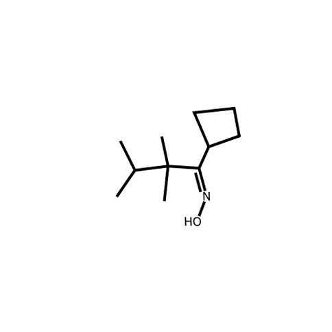 CC(C)C(C)(C)C(=NO)C1CCC1